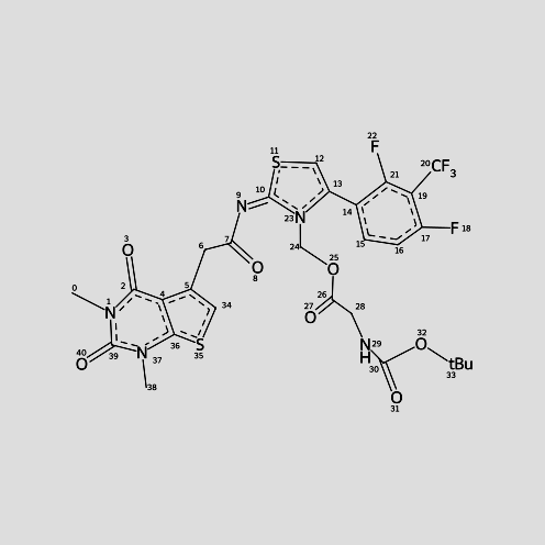 Cn1c(=O)c2c(CC(=O)N=c3scc(-c4ccc(F)c(C(F)(F)F)c4F)n3COC(=O)CNC(=O)OC(C)(C)C)csc2n(C)c1=O